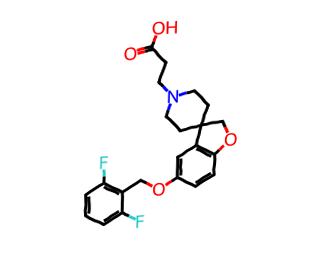 O=C(O)CCN1CCC2(CC1)COc1ccc(OCc3c(F)cccc3F)cc12